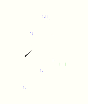 Cl.Cl.NC1=N[C@H](Cc2cnccn2)CS1